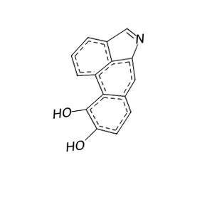 Oc1ccc2cc3c4c(cccc4c2c1O)C=N3